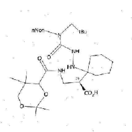 CCCCCCCCCN(CC(C)(C)C)C(=O)NNC1([C@H](CNC(=O)C2OC(C)(C)OCC2(C)C)C(=O)O)CCCCC1